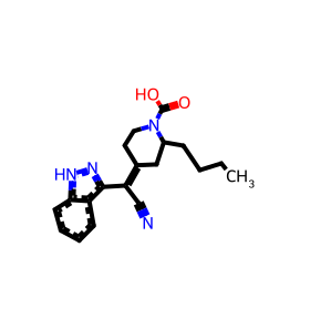 CCCCC1CC(=C(C#N)c2n[nH]c3ccccc23)CCN1C(=O)O